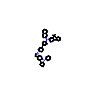 CC1(C)c2ccccc2-c2ccc(N(c3ccc(-c4ccc(-n5ccc6cc7c8ccccc8n(-c8ccccc8)c7cc65)cc4)cc3)c3ccc4ccccc4c3)cc21